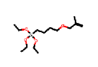 C=C(C)COCCCC[Si](OCC)(OCC)OCC